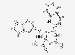 O=C(O)C1(NCc2ccc3c(c2)OCO3)CC(Cl)NC(c2ncc3ccccc3n2)C1